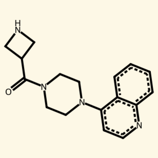 O=C(C1CNC1)N1CCN(c2ccnc3ccccc23)CC1